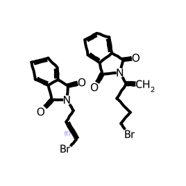 C=C(CCCBr)N1C(=O)c2ccccc2C1=O.O=C1c2ccccc2C(=O)N1C/C=C/Br